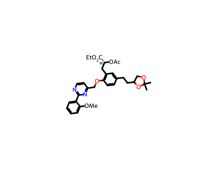 CCOC(=O)[C@@H](Cc1cc(CCC2COC(C)(C)O2)ccc1OCc1ccnc(-c2ccccc2OC)n1)OC(C)=O